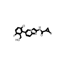 O=C(Nc1cn2cc(-c3c(Cl)ccc(F)c3CO)ccc2n1)C1CC1F